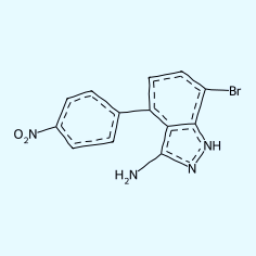 Nc1n[nH]c2c(Br)ccc(-c3ccc([N+](=O)[O-])cc3)c12